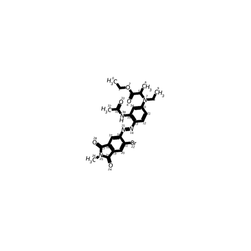 CCOC(=O)C(C)N(CC)c1ccc(N=Nc2cc3c(cc2Br)C(=O)N(C)C3=O)c(NC(C)=O)c1